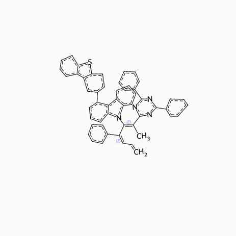 C=C/C=C(\C(=C(/C)c1nc(-c2ccccc2)nc(-c2ccccc2)n1)n1c2ccccc2c2c(-c3ccc4sc5ccccc5c4c3)cccc21)c1ccccc1